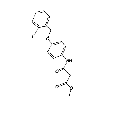 COC(=O)CC(=O)Nc1ccc(OCc2ccccc2F)cc1